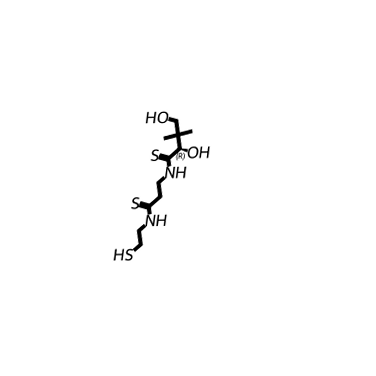 CC(C)(CO)[C@@H](O)C(=S)NCCC(=S)NCCS